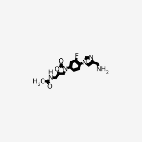 CC(=O)NCC1CN(c2ccc(-n3cnc(CN)c3)c(F)c2)C(=O)O1